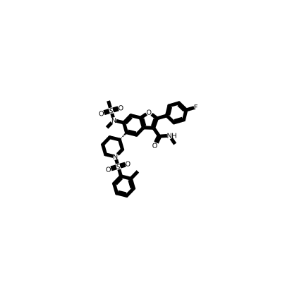 CNC(=O)c1c(-c2ccc(F)cc2)oc2cc(N(C)S(C)(=O)=O)c([C@H]3CCCN(S(=O)(=O)c4ccccc4C)C3)cc12